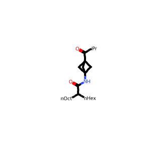 CCCCCCCCC(CCCCCC)C(=O)NC12CC(C(=O)C(C)C)(C1)C2